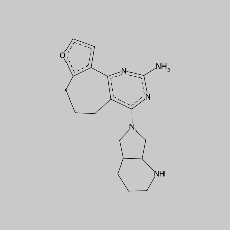 Nc1nc2c(c(N3CC4CCCNC4C3)n1)CCCc1occc1-2